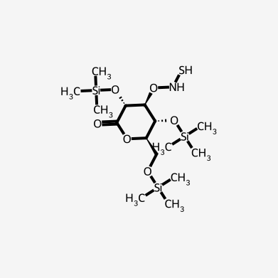 C[Si](C)(C)OC[C@H]1OC(=O)[C@H](O[Si](C)(C)C)[C@@H](ONS)[C@@H]1O[Si](C)(C)C